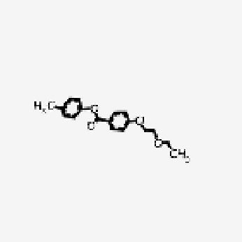 CCOCCOc1ccc(C(=O)Oc2ccc(C)cc2)cc1